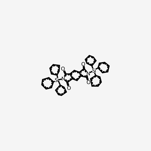 O=c1c2cc3c(=O)n([Si](c4ccccc4)(c4ccccc4)c4ccccc4)c(=O)c3cc2c(=O)n1[Si](c1ccccc1)(c1ccccc1)c1ccccc1